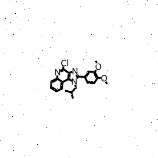 COc1ccc(-c2nc3c(Cl)nc4ccccc4c3n2CC(C)C)cc1OC